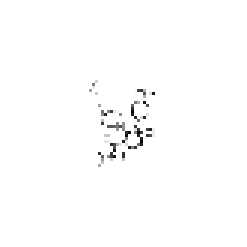 CCCCN1CCN(c2c(C(=O)NC(C)C)cccc2C2CCC(C(C)(C)C)CC2)CC1.Cl